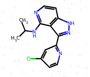 CC(C)Nc1nccc2[nH]nc(-c3cc(Cl)ccn3)c12